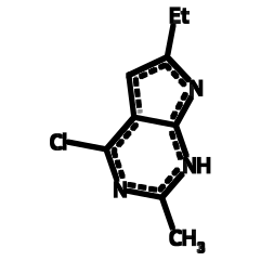 CCc1cc2c(Cl)nc(C)[nH]c-2n1